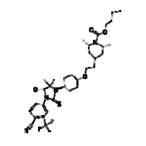 CCCCOC(=O)N1[C@H](C)CC(CCO[C@H]2CC[C@H](N3C(=S)N(c4ccc(C#N)c(C(F)(F)F)c4)C(=O)C3(C)C)CC2)C[C@@H]1C